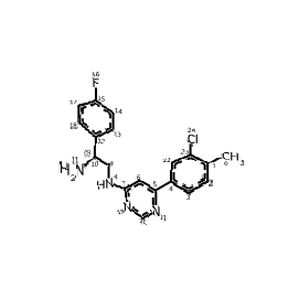 Cc1ccc(-c2cc(NC[C@@H](N)c3ccc(F)cc3)ncn2)cc1Cl